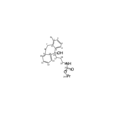 Cc1cccc2c1CCc1ccccc1C2(O)CCCNC(=O)OC(C)C